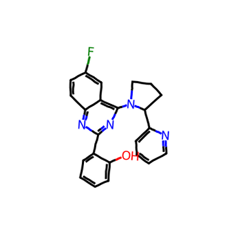 Oc1ccccc1-c1nc(N2CCCC2c2ccccn2)c2cc(F)ccc2n1